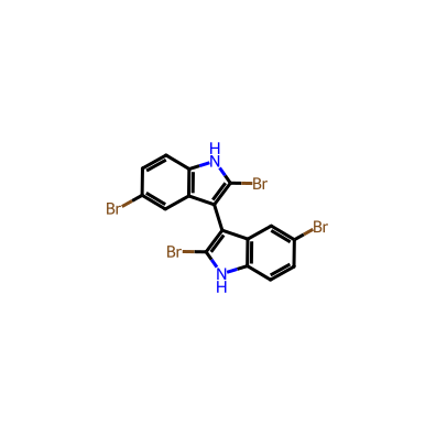 Brc1ccc2[nH]c(Br)c(-c3c(Br)[nH]c4ccc(Br)cc34)c2c1